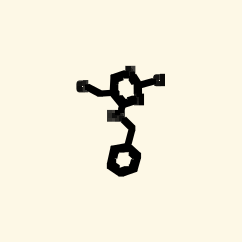 ClCc1cnc(Cl)nc1NCc1ccccc1